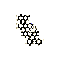 C=Cc1c(/C=C\C)c(-c2cccc3ccccc23)c2ccccc2c1-c1cccc(-c2c3ccccc3c(-c3ccccc3)c3ccncc23)c1